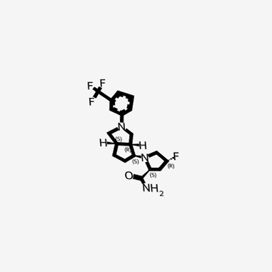 NC(=O)[C@@H]1C[C@@H](F)CN1[C@H]1CC[C@@H]2CN(c3cccc(C(F)(F)F)c3)C[C@@H]21